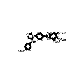 COc1ccc(Nc2cncn2-c2ccc(-c3nc4cc(OC)c(OC)c(OC)c4s3)cc2)cc1